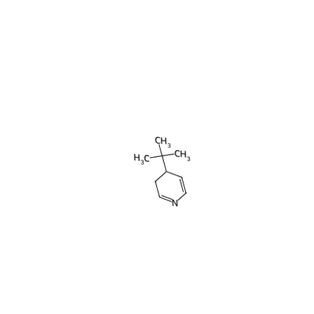 CC(C)(C)C1C=CN=CC1